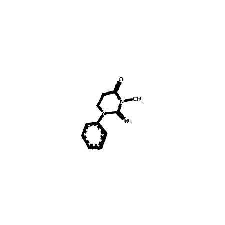 CN1C(=N)N(c2ccccc2)CCC1=O